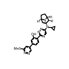 CSc1cc(-c2ccc(-c3ncc(N(C4CC4)[C@H]4C[C@@H]5CC[C@@H](N5)[C@H]4F)nn3)c(O)c2)cnn1